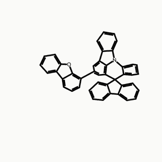 c1ccc2c(c1)-c1ccccc1C21c2ccccc2-n2c3ccccc3c3cc(-c4cccc5c4oc4ccccc45)cc1c32